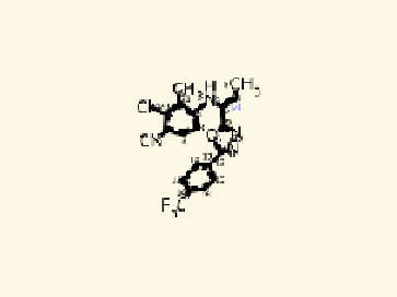 [C-]#[N+]c1ccc(N/C(=C\C)c2nnc(-c3ccc(C(F)(F)F)cc3)o2)c(C)c1Cl